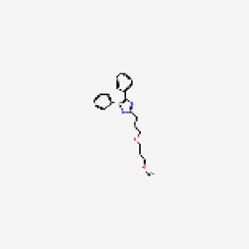 CCCOCCCOCCCC1=NC(c2ccccc2)=C(c2ccccc2)[N]1